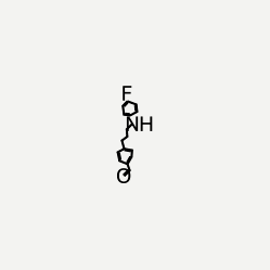 O=Cc1ccc(CCCNc2ccc(F)cc2)cc1